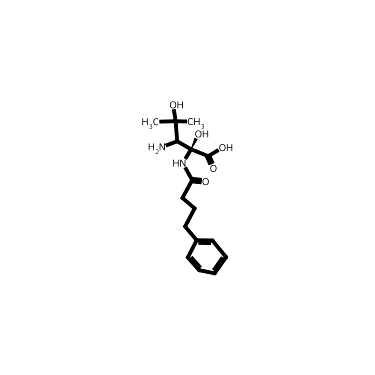 CC(C)(O)C(N)[C@@](O)(NC(=O)CCCc1ccccc1)C(=O)O